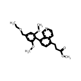 CCOCc1cc(OC)c(-c2ccc(CCC(=O)OC)c3ccncc23)c(OC)c1